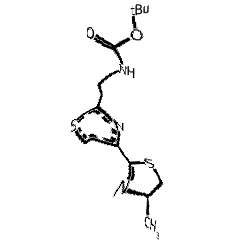 C[C@@H]1CSC(c2csc(CNC(=O)OC(C)(C)C)n2)=N1